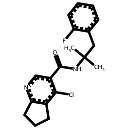 CC(C)(Cc1ccccc1F)NC(=O)c1cnc2c(c1Cl)CCC2